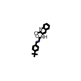 CC(C)(C)c1ccc(/C=C/C(=O)Nc2cc3ccccc3nc2Cl)cc1